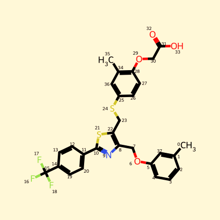 Cc1cccc(OCc2nc(-c3ccc(C(F)(F)F)cc3)sc2CSc2ccc(OCC(=O)O)c(C)c2)c1